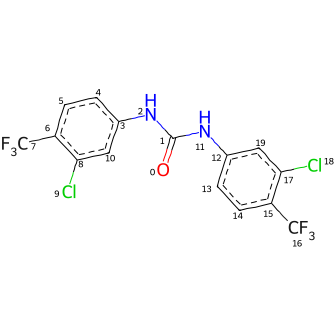 O=C(Nc1ccc(C(F)(F)F)c(Cl)c1)Nc1ccc(C(F)(F)F)c(Cl)c1